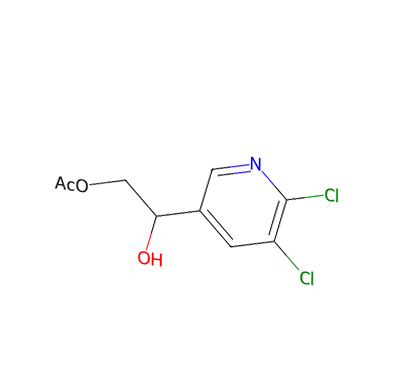 CC(=O)OCC(O)c1cnc(Cl)c(Cl)c1